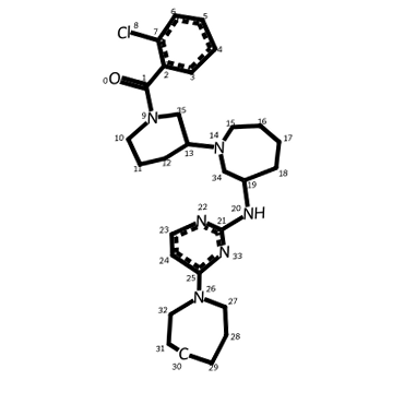 O=C(c1ccccc1Cl)N1CCCC(N2CCCCC(Nc3nccc(N4CCCCCC4)n3)C2)C1